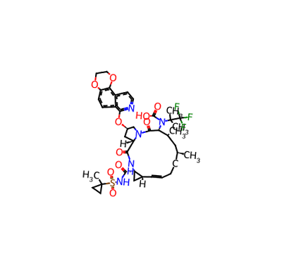 C[C@H]1CCC=C[C@@H]2C[C@@]2(C(=O)NS(=O)(=O)C2(C)CC2)NC(=O)[C@@H]2C[C@@H](Oc3nccc4c5c(ccc34)OCCO5)CN2C(=O)[C@@H](N(C(=O)O)C(C)(C)C(F)(F)F)[C@H](C)C1